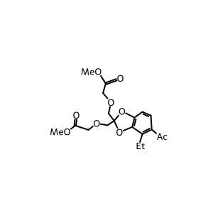 CCc1c(C(C)=O)ccc2c1OC(COCC(=O)OC)(COCC(=O)OC)O2